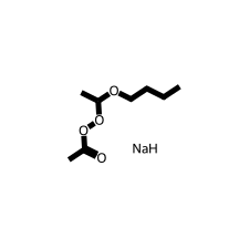 CCCCOC(C)OOC(C)=O.[NaH]